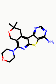 CC1(C)Cc2c(c(N3CCOCC3)nc3sc4c(N)ncnc4c23)CO1